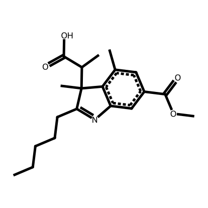 CCCCCC1=Nc2cc(C(=O)OC)cc(C)c2C1(C)C(C)C(=O)O